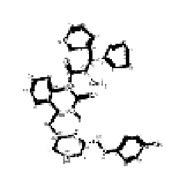 COC(=O)N(C(=O)[C@@H](N)[C@@H](c1ccccc1)c1cccnc1)c1ccccc1CC[C@@H]1CNC[C@@H](CSc2ccc(Cl)cc2)O1